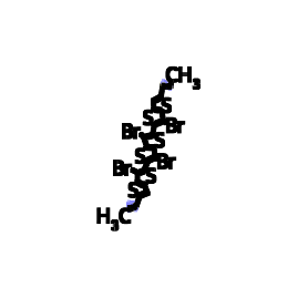 C/C=C/c1cc2sc(-c3sc4c(Br)c(-c5sc6cc(/C=C/C)sc6c5Br)sc4c3Br)c(Br)c2s1